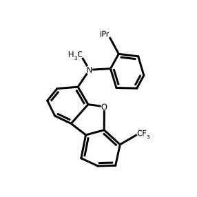 CC(C)c1ccccc1N(C)c1cccc2c1oc1c(C(F)(F)F)cccc12